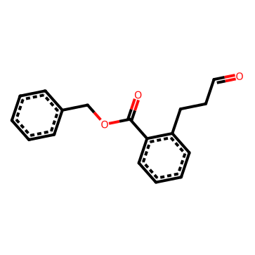 O=CCCc1ccccc1C(=O)OCc1ccccc1